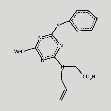 C=CCN(CC(=O)O)c1nc(OC)nc(Sc2ccccc2)n1